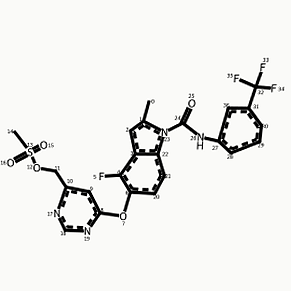 Cc1cc2c(F)c(Oc3cc(COS(C)(=O)=O)ncn3)ccc2n1C(=O)Nc1cccc(C(F)(F)F)c1